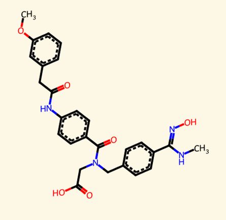 CN/C(=N\O)c1ccc(CN(CC(=O)O)C(=O)c2ccc(NC(=O)Cc3cccc(OC)c3)cc2)cc1